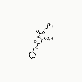 C=CCOC(=O)NC(CC(=O)OCc1ccccc1)C(=O)O